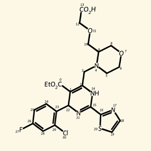 CCOC(=O)C1=C(CN2CCOCC2COCC(=O)O)NC(c2nccs2)=NC1c1ccc(F)cc1Cl